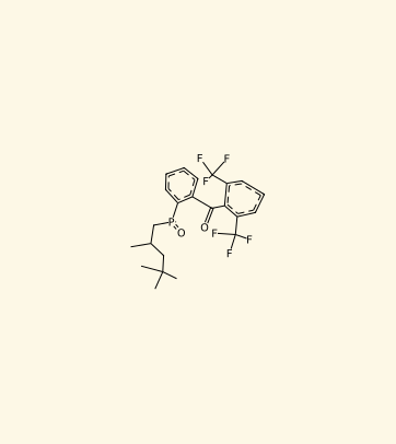 CC(C[P](=O)c1ccccc1C(=O)c1c(C(F)(F)F)cccc1C(F)(F)F)CC(C)(C)C